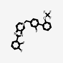 Fc1cc(Cn2ccc3nc(-c4cccc(F)c4F)nc-3c2)ccc1-c1ccccc1OC(F)(F)F